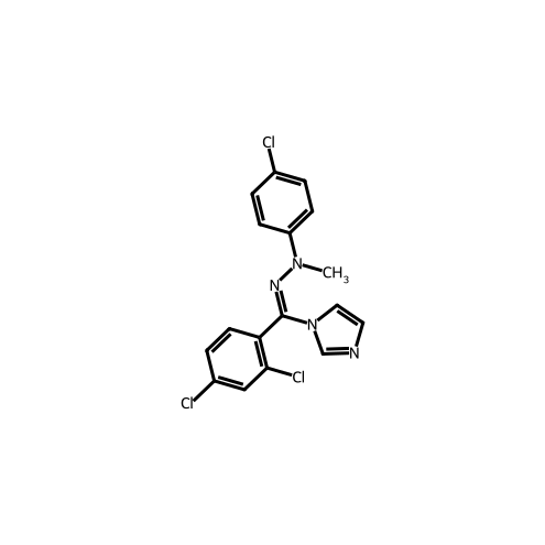 CN(N=C(c1ccc(Cl)cc1Cl)n1ccnc1)c1ccc(Cl)cc1